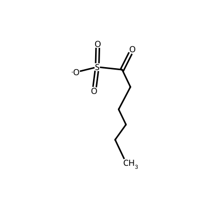 CCCCCC(=O)S([O])(=O)=O